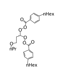 [CH2]CCOCC[C](OOC(=O)c1ccc(CCCCCC)cc1)OOC(=O)c1ccc(CCCCCC)cc1